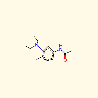 CCN(CC)c1cc(NC(C)=O)ccc1C